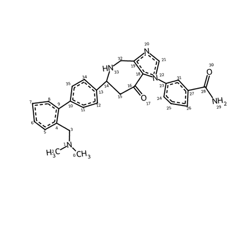 CN(C)Cc1ccccc1-c1ccc(C2CC(=O)c3c(ncn3-c3cccc(C(N)=O)c3)CN2)cc1